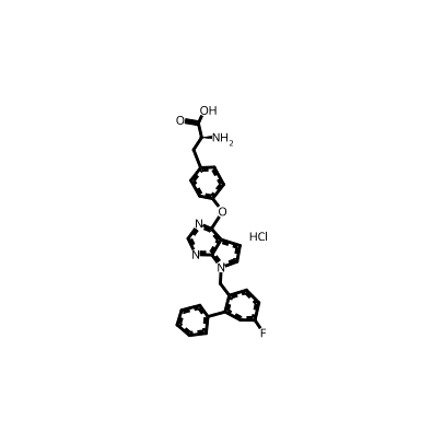 Cl.N[C@@H](Cc1ccc(Oc2ncnc3c2ccn3Cc2ccc(F)cc2-c2ccccc2)cc1)C(=O)O